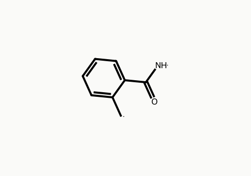 [CH2]c1ccccc1C([NH])=O